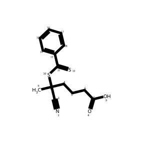 CC(C#N)(CCCC(=O)O)SC(=S)c1ccccc1